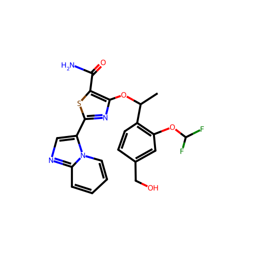 CC(Oc1nc(-c2cnc3ccccn23)sc1C(N)=O)c1ccc(CO)cc1OC(F)F